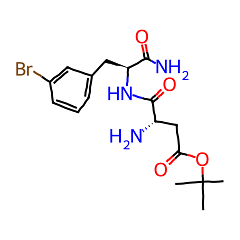 CC(C)(C)OC(=O)C[C@H](N)C(=O)N[C@@H](Cc1cccc(Br)c1)C(N)=O